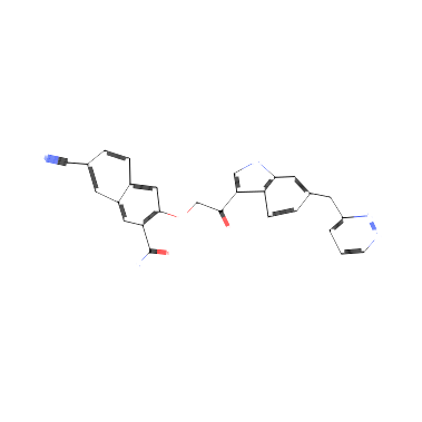 N#Cc1ccc2cc(OCC(=O)c3c[nH]c4cc(Cc5cccnn5)ccc34)c(C(N)=O)cc2c1